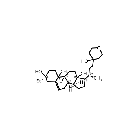 CC[C@]1(O)CC[C@@]2(C)C(=CC[C@H]3[C@@H]4CC[C@H]([C@H](C)CCC5(O)CCOCC5)[C@@]4(C)CC[C@@H]32)C1